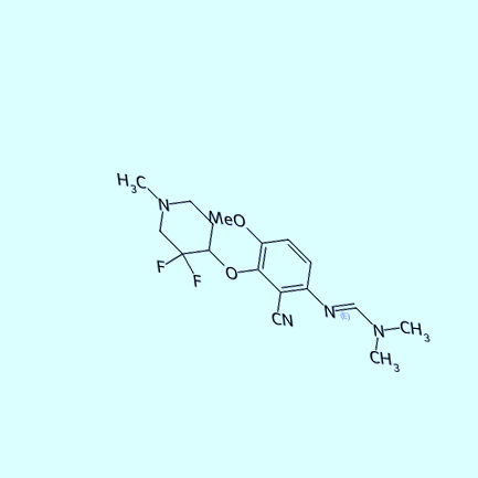 COc1ccc(/N=C/N(C)C)c(C#N)c1OC1CCN(C)CC1(F)F